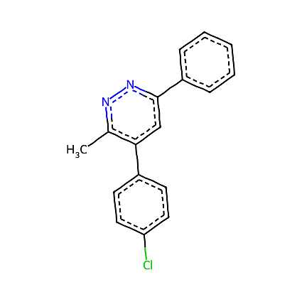 Cc1nnc(-c2ccccc2)cc1-c1ccc(Cl)cc1